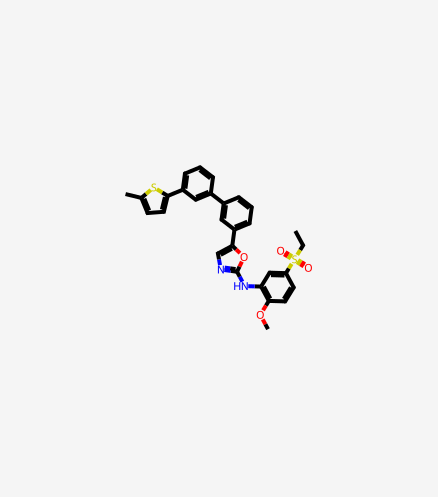 CCS(=O)(=O)c1ccc(OC)c(Nc2ncc(-c3cccc(-c4cccc(-c5ccc(C)s5)c4)c3)o2)c1